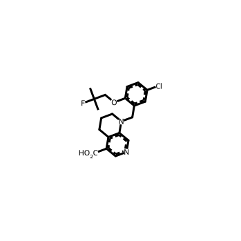 CC(C)(F)COc1ccc(Cl)cc1CN1CCCc2c(C(=O)O)cncc21